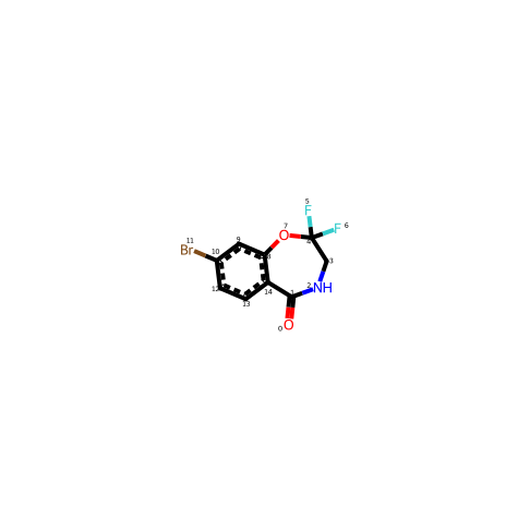 O=C1NCC(F)(F)Oc2cc(Br)ccc21